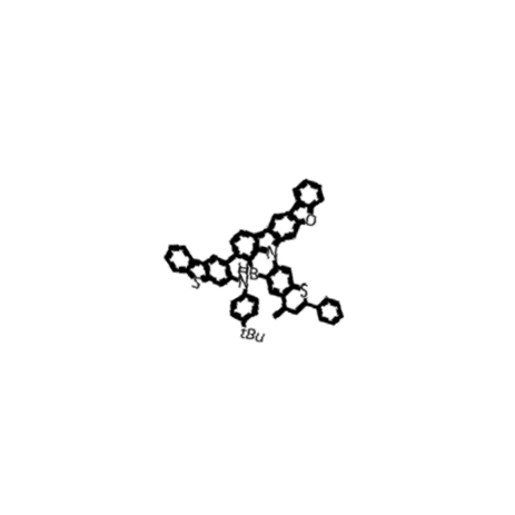 C=C1C=C(c2ccccc2)Sc2cc3c(cc21)Bc1c(-c2cc4c(cc2Nc2ccc(C(C)(C)C)cc2)sc2ccccc24)ccc2c4cc5c(cc4n-3c12)oc1ccccc15